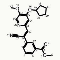 COC(=O)c1cccc(C(C#N)=Cc2cc(OC3CCCC3)c(OC)cn2)c1